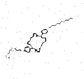 CCCCCCCCCCCCOc1ccc(C2=c3ccc([nH]3)=CC3=NC(Cl)(C=C3)C(Cl)(c3ccc(OCCC[N+](C)(C)CCC[N+](C)(C)C)cc3)c3ccc([nH]3)C=C3C=CC2=N3)cc1